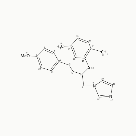 COc1ccc(CCC(Cn2ccnc2)Sc2cc(C)ccc2C)cc1